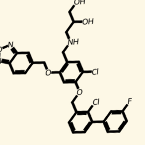 OCC(O)CNCc1cc(Cl)c(OCc2cccc(-c3cccc(F)c3)c2Cl)cc1OCc1ccc2nonc2c1